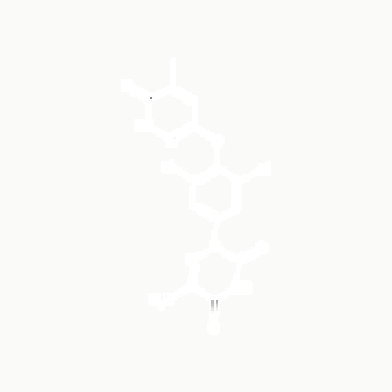 Cc1cc(Oc2c(Cl)cc(-n3nc(N)c(=O)[nH]c3=O)cc2Cl)n[nH]c1=O